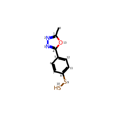 Cc1nnc(-c2ccc(SS)cc2)o1